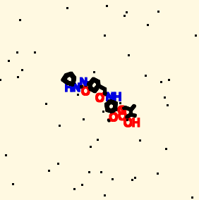 COc1ccc(NC(=O)Cc2ccc3nc(Nc4ccccc4)oc3c2)cc1OCC(C)C(C)C(=O)O